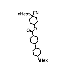 CCCCCCCC1(C#N)CCC(OC(=O)C2CCC(C3CCC(CCCCCC)CC3)CC2)CC1